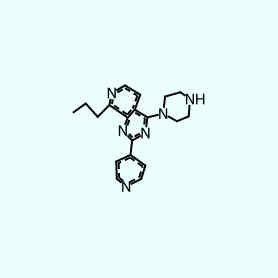 CCCc1nccc2c(N3CCNCC3)nc(-c3ccncc3)nc12